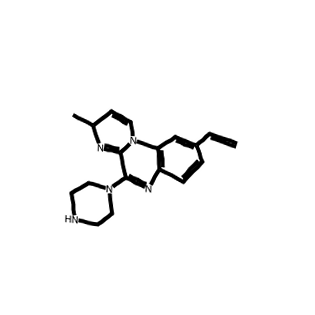 C=Cc1ccc2c(c1)N1C=CC(C)N=C1C(N1CCNCC1)=N2